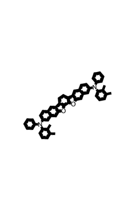 Cc1cccc(N(c2ccccc2)c2ccc3cc4c(cc3c2)oc2c4ccc3c4cc5ccc(N(c6ccccc6)c6cccc(C)c6C)cc5cc4oc32)c1C